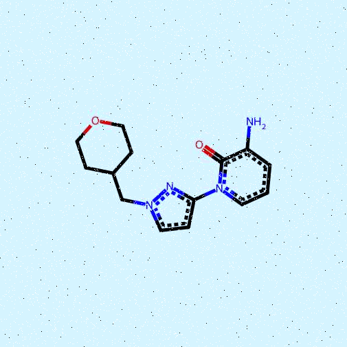 Nc1cccn(-c2ccn(CC3CCOCC3)n2)c1=O